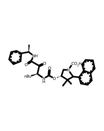 CCCC[C@H](NC(=O)O[C@@H]1CN(C(=O)O)C(c2cccc3ccccc23)C1(C)C)C(=O)C(=O)N[C@H](C)c1ccccc1